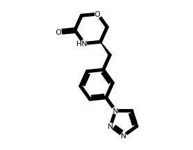 O=C1COC[C@@H](Cc2cccc(-n3ccnn3)c2)N1